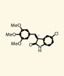 COc1cc(/C=C2\C(=O)Nc3ccc(Cl)cc32)cc(OC)c1OC